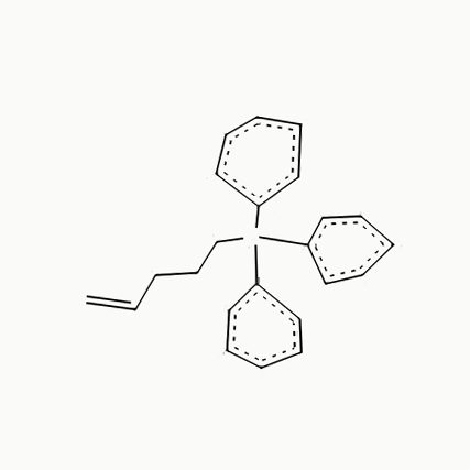 C=CCCC[Si](c1ccccc1)(c1ccccc1)c1ccccc1